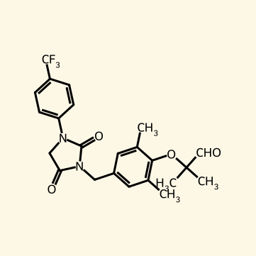 Cc1cc(CN2C(=O)CN(c3ccc(C(F)(F)F)cc3)C2=O)cc(C)c1OC(C)(C)C=O